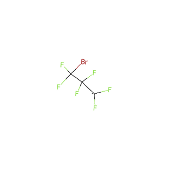 F[C](F)C(F)(F)C(F)(F)Br